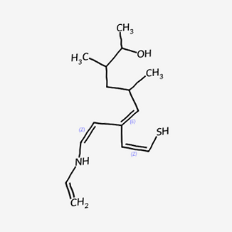 C=CN\C=C/C(/C=C\S)=C\C(C)CC(C)C(C)O